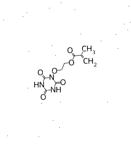 C=C(C)C(=O)OCCOn1c(=O)[nH]c(=O)[nH]c1=O